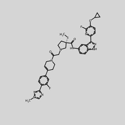 CS[C@@]1(C(=O)Nc2ccc3[nH]nc(-c4ccc(OC5CC5)c(F)n4)c3c2)CCN(CC(=O)N2CC=C(c3ccc(-c4ncn(C)n4)c(F)c3)CC2)C1